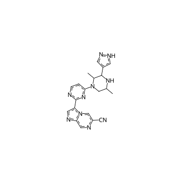 CC1CN(c2ccnc(-c3cnc4cnc(C#N)cn34)n2)C(C)C(c2cn[nH]c2)N1